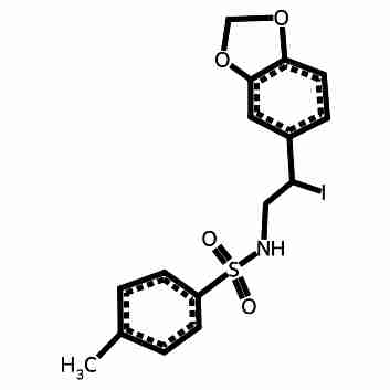 Cc1ccc(S(=O)(=O)NCC(I)c2ccc3c(c2)OCO3)cc1